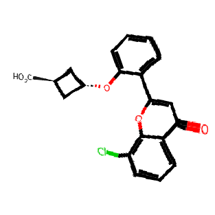 O=c1cc(-c2ccccc2O[C@H]2C[C@H](C(=O)O)C2)oc2c(Cl)cccc12